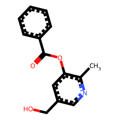 Cc1ncc(CO)cc1OC(=O)c1ccccc1